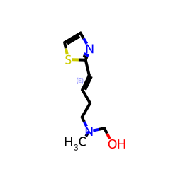 CN(CO)CC/C=C/c1nccs1